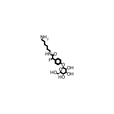 NCCCCCCNC(=O)C(F)c1ccc(O[C@@H]2O[C@H](CO)[C@@H](O)[C@H](O)[C@H]2O)cc1